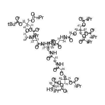 C=C(COCC(COC(=O)C(C)C)(COC(=O)C(C)C)COC(=O)C(C)(C)C)NCCC(=O)NCC(CNC(=O)CCNC(=O)COCC(COC(=O)C(C)C)(COC(=O)C(C)C)COC(=O)C(C)C)(CNC(=O)CCNC(=O)COCC(COC(=O)C(C)C)(COC(=O)C(C)C)COC(=O)C(C)(C)S)CC(C)C